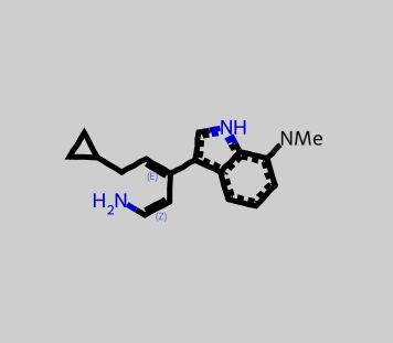 CNc1cccc2c(C(/C=C\N)=C/CC3CC3)c[nH]c12